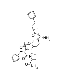 CC(C)(CCc1ccccc1)C(=O)N=C(N)N1CCC(CN([C@H](Cc2ccccc2)C(=O)N2CCC[C@H]2C(N)=O)S(C)(=O)=O)CC1